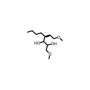 CCCCC(=CCOC)C(O)C(O)COC